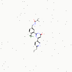 CCCc1ccc(-c2cc(=O)[nH]c(-c3cc(CNC(=O)C(C)C)ccc3C(F)(F)F)n2)cn1